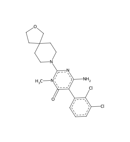 Cn1c(N2CCC3(CCOC3)CC2)nc(N)c(-c2cccc(Cl)c2Cl)c1=O